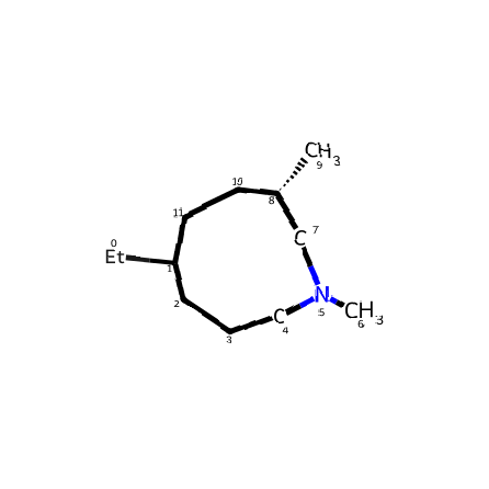 CCC1CCCN(C)C[C@@H](C)CC1